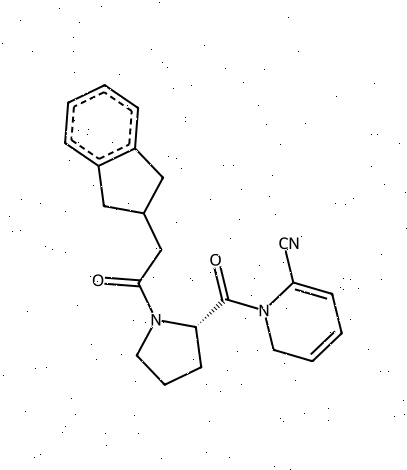 N#CC1=CC=CCN1C(=O)[C@@H]1CCCN1C(=O)CC1Cc2ccccc2C1